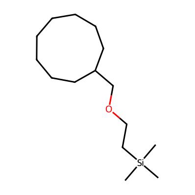 C[Si](C)(C)CCOCC1CCCCCCCC1